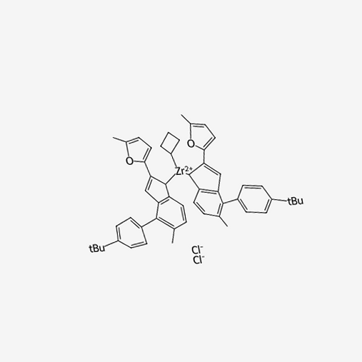 Cc1ccc(C2=Cc3c(ccc(C)c3-c3ccc(C(C)(C)C)cc3)[CH]2[Zr+2]([CH]2CCC2)[CH]2C(c3ccc(C)o3)=Cc3c2ccc(C)c3-c2ccc(C(C)(C)C)cc2)o1.[Cl-].[Cl-]